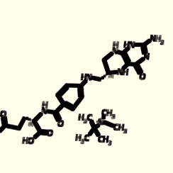 C[Si](C)C(C)(C)C.Nc1nc(=O)c2c([nH]1)NC[C@@H](CNc1ccc(C(=O)N[C@@H](CCC(=O)O)C(=O)O)cc1)N2